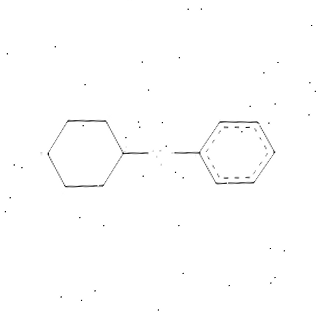 c1cc[c]([Mg][CH]2CCCCC2)cc1